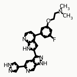 CN(C)CCOc1cc(F)cc(-c2ccnc3[nH]c(-c4n[nH]c5cnc(-c6cn[nH]c6)cc45)cc23)c1